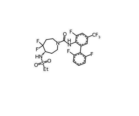 CCS(=O)(=O)N[C@@H]1CCN(C(=O)Nc2c(F)cc(C(F)(F)F)cc2-c2c(F)cccc2F)CCC1(F)F